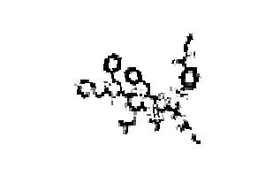 C#CCNC(=O)c1cccc(S(=O)(=O)OCC(C)(OC(=O)OCC)C(=O)[C@H](CC(C)C)NC(=O)[C@H](Cc2ccccc2)NC(=O)[C@H](CC(C)C)NC(=O)[C@H](CCc2ccccc2)NC(=O)CN2CCOCC2)c1